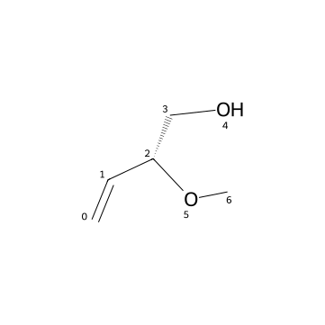 C=C[C@H](CO)OC